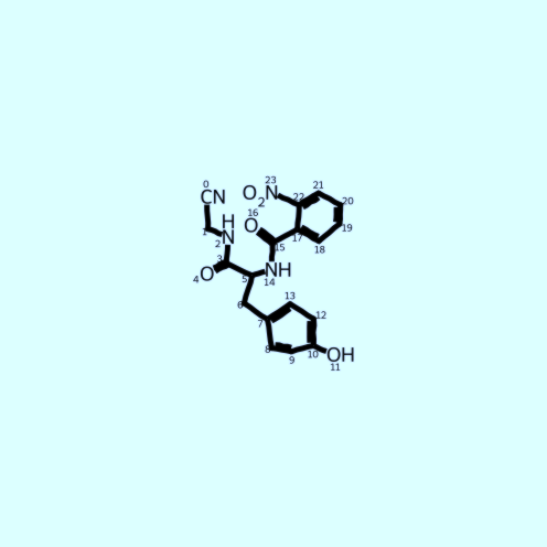 N#CCNC(=O)C(Cc1ccc(O)cc1)NC(=O)c1ccccc1[N+](=O)[O-]